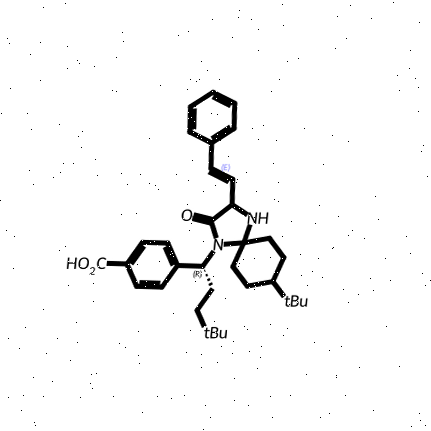 CC(C)(C)CC[C@H](c1ccc(C(=O)O)cc1)N1C(=O)C(/C=C/c2ccccc2)NC12CCC(C(C)(C)C)CC2